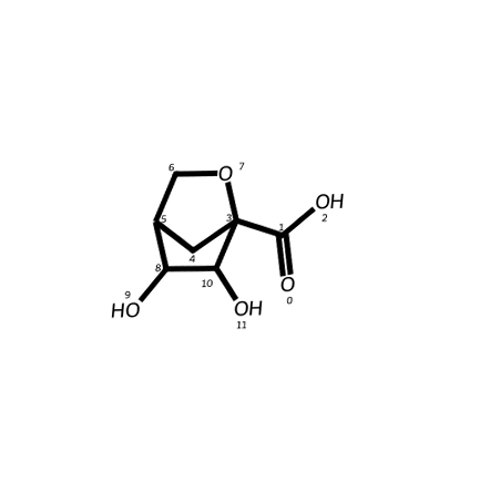 O=C(O)C12CC(CO1)C(O)C2O